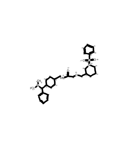 CN(C)C(c1ccccc1)C1CCC(CNC(=O)COCC2CCCN(S(=O)(=O)c3ccccc3)C2)CC1